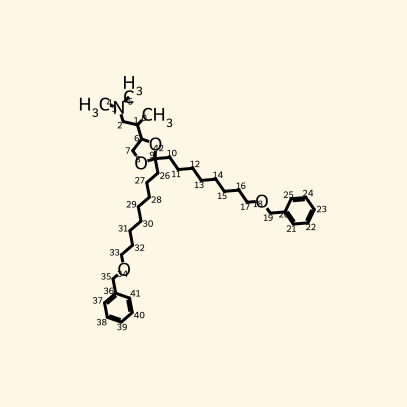 CC(CN(C)C)C1COC(CCCCCCCCOCc2ccccc2)(CCCCCCCCOCc2ccccc2)O1